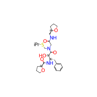 CC(C)SCN(CC(=O)NC[C@H]1CCCO1)C(=O)[C@@H](O)[C@H](Cc1ccccc1)NC(=O)[C@@H]1CCCO1